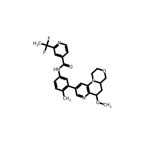 COC1CC2COCCN2c2cc(-c3cc(NC(=O)c4ccnc(C(C)(F)F)c4)ccc3C)cnc21